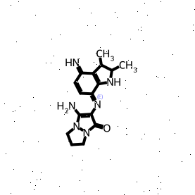 CC1NC2=C(C(=N)C=C/C2=N\c2c(N)n3n(c2=O)CCC3)C1C